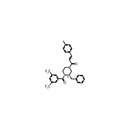 Cc1ccc(/C=C/C(=O)N2CCN(C(=O)c3cc(C(F)(F)F)cc(C(F)(F)F)c3)[C@H](Cc3ccccc3)C2)cc1